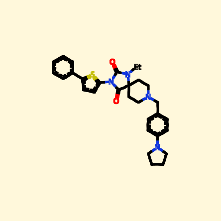 CCN1C(=O)N(c2ccc(-c3ccccc3)s2)C(=O)C12CCN(Cc1ccc(N3CCCC3)cc1)CC2